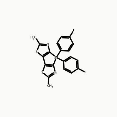 Cc1nc2c(s1)-c1sc(C)nc1[Si]2(c1ccc(F)cc1)c1ccc(F)cc1